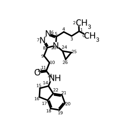 CC(C)CCc1nnc(CCC(=O)NC2CCc3ccccc32)n1C1CC1